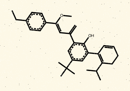 C=C(/C=C(\OC)c1ccc(CC)cc1)c1cc(C(C)(C)C)cc(C2=C(C(C)C)CCC=C2)c1O